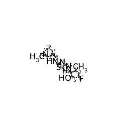 Cc1cc(F)cc(O)c1-n1cc2sc(NC[C@@H]3CCCN(C)C3)nc2n1